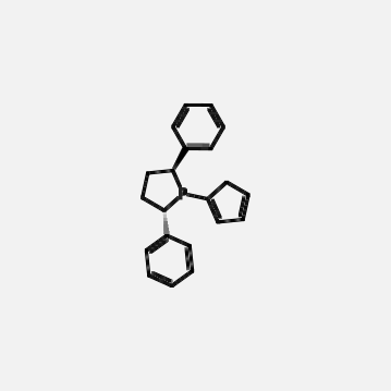 C1=CCC(P2[C@H](c3ccccc3)CC[C@H]2c2ccccc2)=C1